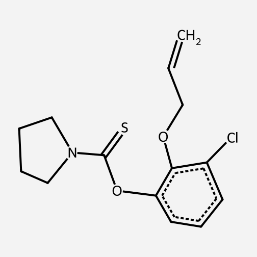 C=CCOc1c(Cl)cccc1OC(=S)N1CCCC1